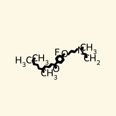 C=CCN(C)C/C=C/COc1ccc(C(=O)/C=C/C=C(\C)CCC=C(C)C)cc1F